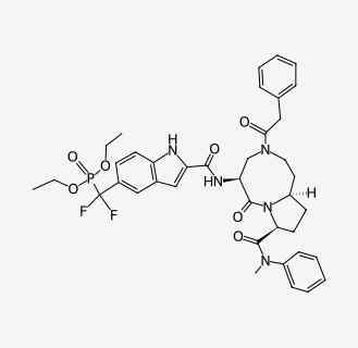 CCOP(=O)(OCC)C(F)(F)c1ccc2[nH]c(C(=O)N[C@H]3CN(C(=O)Cc4ccccc4)CC[C@H]4CC[C@@H](C(=O)N(C)c5ccccc5)N4C3=O)cc2c1